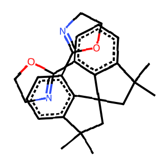 CC1(C)CC2(CC(C)(C)c3cccc(C4=NCCO4)c32)c2c(C3=NCCO3)cccc21